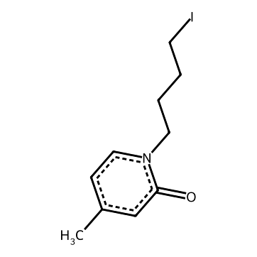 Cc1ccn(CCCCI)c(=O)c1